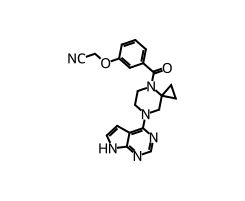 N#CCOc1cccc(C(=O)N2CCN(c3ncnc4[nH]ccc34)CC23CC3)c1